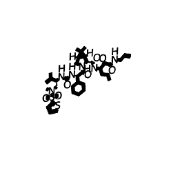 C=CCNC(=O)C(=O)C(CCC)NC(=O)[C@@H]1[C@@H]2[C@H](CN1C(=O)[C@@H](NC(=O)N[C@H](CN(C)S(=O)(=O)c1cccs1)C(=C)C)C1CCCCC1)C2(C)C